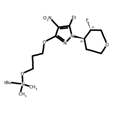 CCc1c([N+](=O)[O-])c(OCCCO[Si](C)(C)C(C)(C)C)nn1[C@@H]1CCOC[C@H]1F